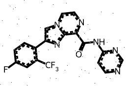 O=C(Nc1ccncn1)c1nccn2cc(-c3ccc(F)cc3C(F)(F)F)nc12